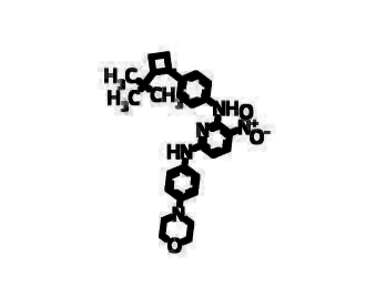 CC(C)(C)C1CC[C]1c1ccc(Nc2nc(Nc3ccc(N4CCOCC4)cc3)ccc2[N+](=O)[O-])cc1